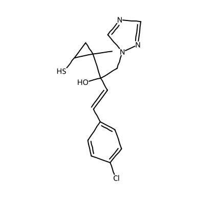 CC1(C(O)(/C=C/c2ccc(Cl)cc2)Cn2cncn2)CC1S